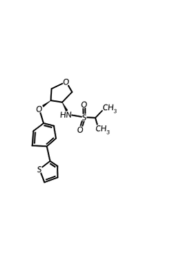 CC(C)S(=O)(=O)N[C@@H]1COC[C@@H]1Oc1ccc(-c2cccs2)cc1